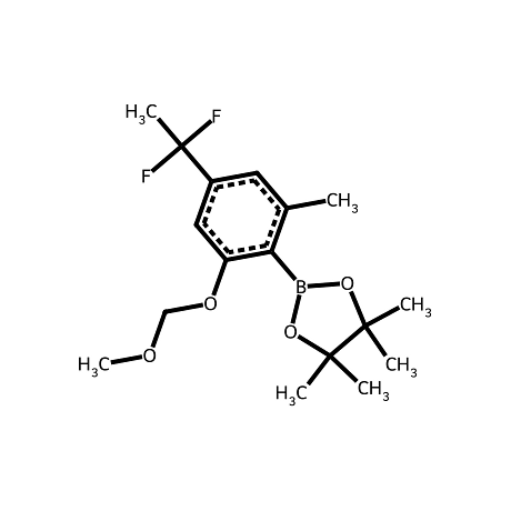 COCOc1cc(C(C)(F)F)cc(C)c1B1OC(C)(C)C(C)(C)O1